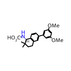 COc1cc(OC)cc(-c2ccc3c(c2)CCC(C)(C)[C@@H]3NC(=O)O)c1